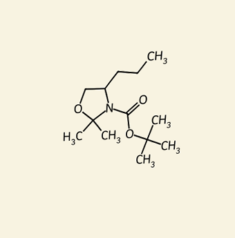 CCCC1COC(C)(C)N1C(=O)OC(C)(C)C